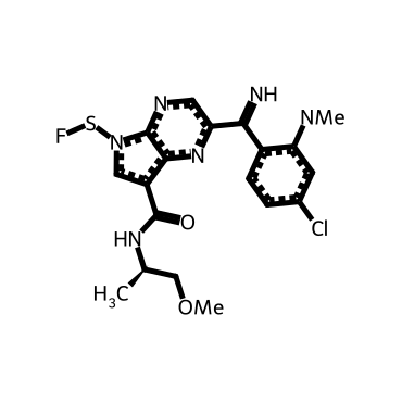 CNc1cc(Cl)ccc1C(=N)c1cnc2c(n1)c(C(=O)N[C@H](C)COC)cn2SF